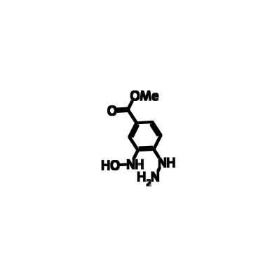 COC(=O)c1ccc(NN)c(NO)c1